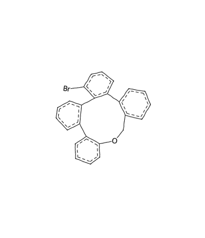 Brc1cccc2c1-c1ccccc1-c1ccccc1OCc1ccccc1-2